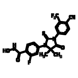 CC1(C)C(=O)N(c2ccc(C#N)c(C(F)(F)F)c2)C(=S)N1c1ccc(C(=O)NO)c(F)c1